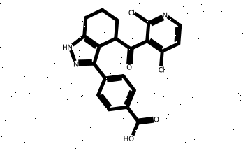 O=C(O)c1ccc(-c2n[nH]c3c2C(C(=O)c2c(Cl)ccnc2Cl)CCC3)cc1